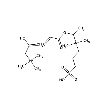 C=CC(=O)OC(C)[N+](C)(C)CCCS(=O)(=O)O.C[N+](C)(C)CC(=O)O